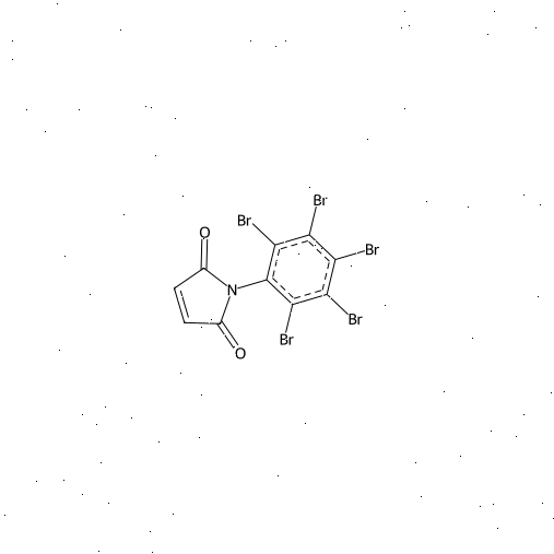 O=C1C=CC(=O)N1c1c(Br)c(Br)c(Br)c(Br)c1Br